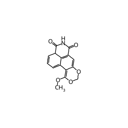 COC1=c2c(cc3c4c2=CC=CC4C(=O)NC3=O)OCO1